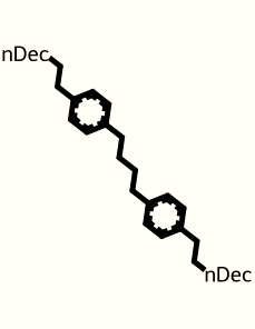 CCCCCCCCCCCCc1ccc(CCCCc2ccc(CCCCCCCCCCCC)cc2)cc1